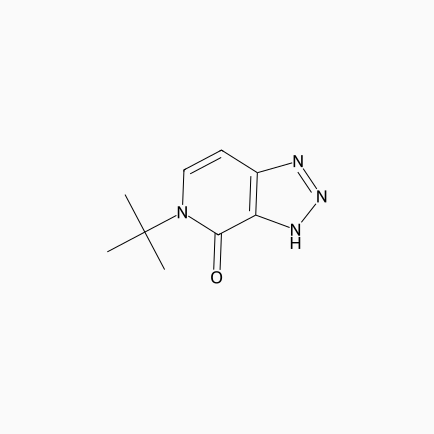 CC(C)(C)n1ccc2nn[nH]c2c1=O